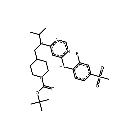 CC(C)N(CC1CCN(C(=O)OC(C)(C)C)CC1)c1cc(Nc2ccc(S(C)(=O)=O)cc2F)ncn1